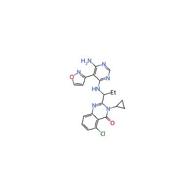 CCC(Nc1ncnc(N)c1-c1ccon1)c1nc2cccc(Cl)c2c(=O)n1C1CC1